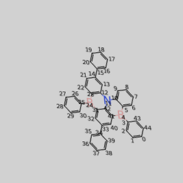 c1ccc(B2c3ccccc3N3c4cc(-c5ccccc5)ccc4B(c4ccccc4)c4cc(-c5ccccc5)cc2c43)cc1